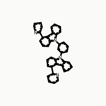 c1ccc(-c2cccc3c2c2ccccc2n3-c2cccc(-n3c4ccccc4c4c(-c5ccccn5)cccc43)c2)nc1